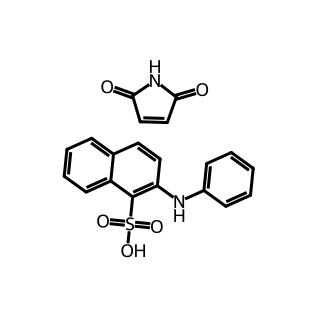 O=C1C=CC(=O)N1.O=S(=O)(O)c1c(Nc2ccccc2)ccc2ccccc12